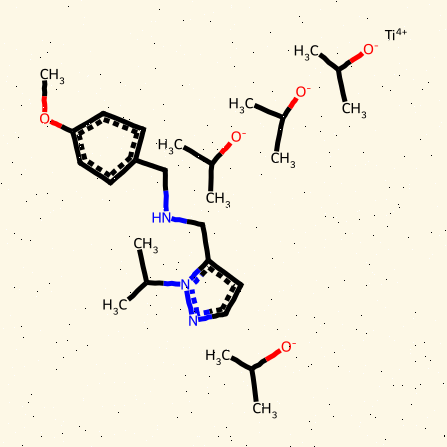 CC(C)[O-].CC(C)[O-].CC(C)[O-].CC(C)[O-].COc1ccc(CNCc2ccnn2C(C)C)cc1.[Ti+4]